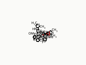 COc1ccc(F)cc1C(C)(CC(O)(Cc1cc2c(C)nc(C)cc2[nH]1)C(F)(F)F)CC(CC(C)(CC(O)(Cc1cc2cc(C)nc(C)c2[nH]1)C(F)(F)F)c1cc(F)ccc1OC)(C(C)(C)c1cc(F)ccc1C)C(O)(Cc1[nH]c2cnccc2c1C)C(F)(F)F